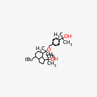 CC(C)(O)c1ccc(COC(C)(C)C2CCC(C(C)(C)C)C3CCC(C(C)(C)O)C32)cc1